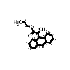 C=CCOC(=O)C(=C)c1c2ccccc2cc2ccccc12